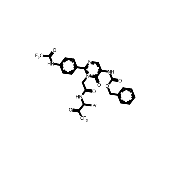 CC(C)C(NC(=O)Cn1c(-c2ccc(NC(=O)C(F)(F)F)cc2)ncc(NC(=O)OCc2ccccc2)c1=O)C(=O)C(F)(F)F